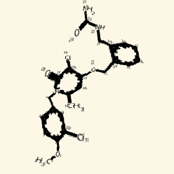 COc1ccc(Cn2c(C)cc(OCc3ccccc3CNC(N)=O)c(Cl)c2=O)cc1Cl